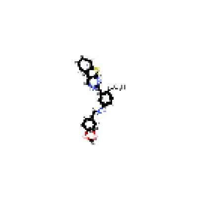 O=C(O)c1ccc(NCc2ccc3c(c2)OCO3)cc1-c1ncc2c3c(sc2n1)CCCC3